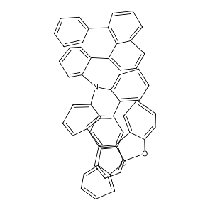 c1ccc(-c2cccc3cccc(-c4ccccc4N(c4cccc(-c5cccc6oc7ccccc7c56)c4)c4ccccc4-c4ccc5c(c4)oc4ccccc45)c23)cc1